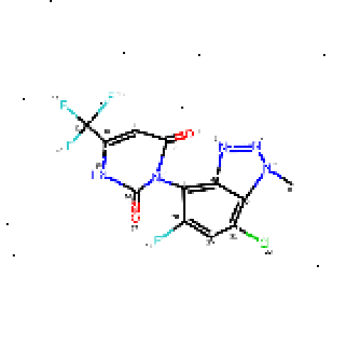 Cn1nnc2c(-n3c(=O)cc(C(F)(F)F)[nH]c3=O)c(F)cc(Cl)c21